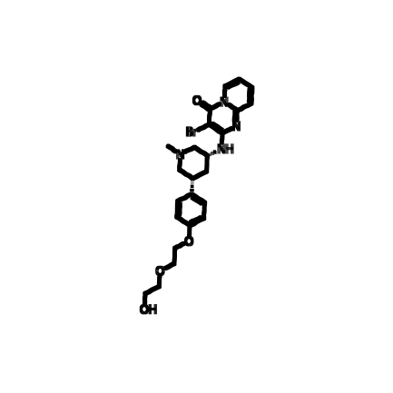 CN1C[C@H](Nc2nc3ccccn3c(=O)c2Br)C[C@H](c2ccc(OCCOCCO)cc2)C1